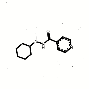 O=C(NNC1CCCCC1)c1ccncc1